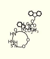 CN(Cc1cc2ccccc2n1C1CC(=O)NCCNC(=S)NCCOCCOCCC1C(=O)O)N(C)C(=O)OCC1c2ccccc2-c2ccccc21